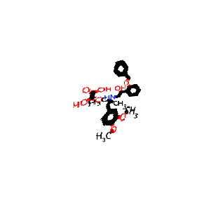 COc1ccc(CC(C)(C)NCC(O)c2ccccc2OCc2ccccc2)cc1OC.O=C(O)C(=O)O